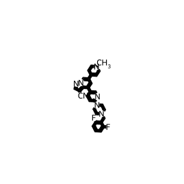 CN1CC=C(c2cc(-c3ccc(N4CCN(Cc5c(F)cccc5F)CC4)nc3)c3c(C#N)cnn3c2)CC1